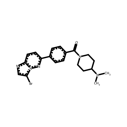 CN(C)C1CCN(C(=O)c2ccc(-c3ccc4ncc(Br)n4n3)cc2)CC1